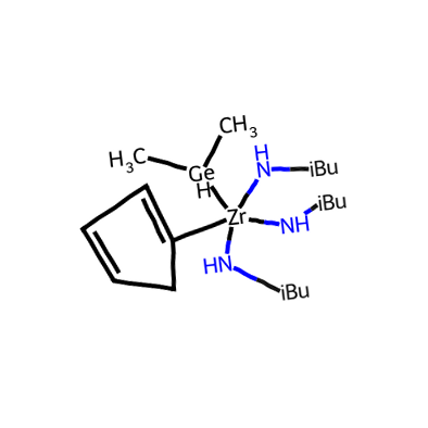 CCC(C)[NH][Zr]([NH]C(C)CC)([NH]C(C)CC)([C]1=CC=CC1)[GeH]([CH3])[CH3]